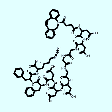 [N-]=[N+]=NCCCCC(NC(=O)C(Cc1ccccc1)NC(=O)C(Cc1ccccc1)NC(=O)C(CC(=O)O)NC(=O)C(CC(=O)O)NC(=O)C(CC(=O)O)NC(=O)CNC(=O)CNC(=O)CNC(=O)C(CC(=O)O)NC(=O)C(CC(=O)O)NC(=O)CCC(=O)N1Cc2ccccc2C#Cc2ccccc21)C(N)=O